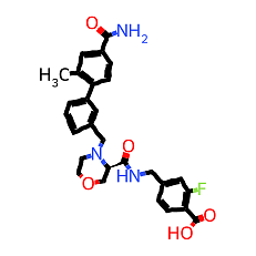 Cc1cc(C(N)=O)ccc1-c1cccc(CN2CCOC[C@@H]2C(=O)NCc2ccc(C(=O)O)c(F)c2)c1